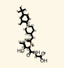 Cc1cc(C(C)(C)C)ccc1N1CCC(Cc2nc(C)c(O)c(C(=O)NCC(=O)O)n2)CC1